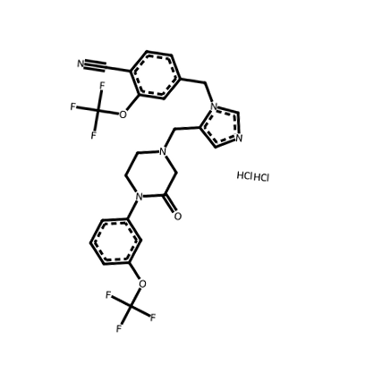 Cl.Cl.N#Cc1ccc(Cn2cncc2CN2CCN(c3cccc(OC(F)(F)F)c3)C(=O)C2)cc1OC(F)(F)F